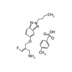 CCCCn1nc2ccc(OC/C(=C\F)CN)cc2n1.Cc1ccc(S(=O)(=O)O)cc1